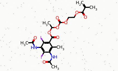 C=C(C)C(=O)OCCOC(=O)OC(C)OC(=O)c1c(C)c(NC(C)=O)c(I)c(NC(C)=O)c1I